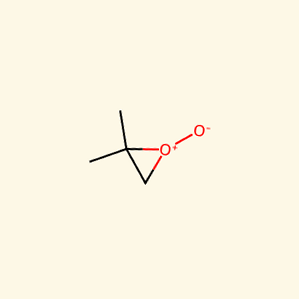 CC1(C)C[O+]1[O-]